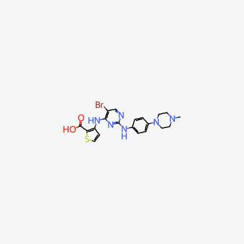 CN1CCN(c2ccc(Nc3ncc(Br)c(Nc4ccsc4C(=O)O)n3)cc2)CC1